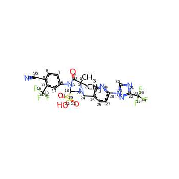 CC1(C)C(=O)N(c2ccc(C#N)c(C(F)(F)F)c2)C(S(=O)(=O)O)N1Cc1ccc(-n2cnc(C(F)(F)F)n2)nc1